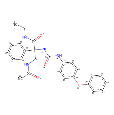 N#CCNC(=O)C(CNC(=O)C#N)(NC(=O)Nc1ccc(Oc2ccccc2)cc1)c1ccccc1